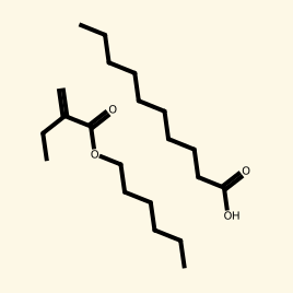 C=C(CC)C(=O)OCCCCCC.CCCCCCCCCC(=O)O